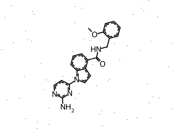 COc1ccccc1CNC(=O)c1cccc2c1ccn2-c1ccnc(N)n1